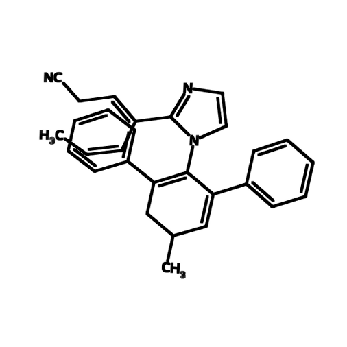 C/C=C\C(=C/CC#N)c1nccn1C1=C(c2ccccc2)CC(C)C=C1c1ccccc1